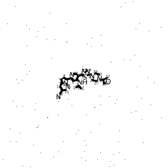 CC(C)Nc1cc(-c2ccc3cc(C#N)cnn23)ncc1-c1nnc(N2CCN(C3COC3)CC2)s1